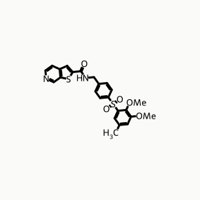 COc1cc(C)cc(S(=O)(=O)c2ccc(CNC(=O)c3cc4ccncc4s3)cc2)c1OC